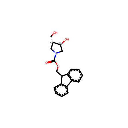 O=C(OCC1c2ccccc2-c2ccccc21)N1C[C@H](CO)[C@@H](O)C1